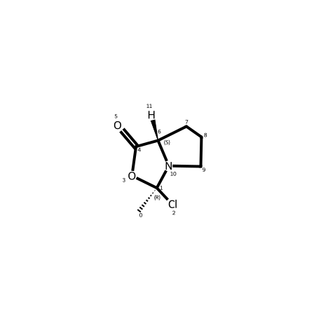 C[C@]1(Cl)OC(=O)[C@@H]2CCCN21